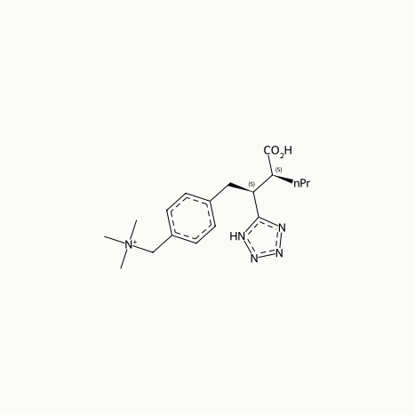 CCC[C@H](C(=O)O)[C@H](Cc1ccc(C[N+](C)(C)C)cc1)c1nnn[nH]1